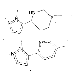 CC1CCC(c2ccnn2C)NC1.Cc1ccc(-c2ccnn2C)nc1